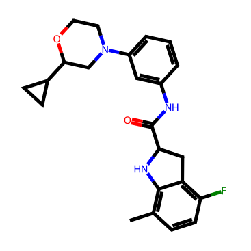 Cc1ccc(F)c2c1NC(C(=O)Nc1cccc(N3CCOC(C4CC4)C3)c1)C2